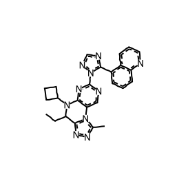 CCC1c2nnc(C)n2-c2cnc(-n3ncnc3-c3cccc4ncccc34)nc2N1C1CCC1